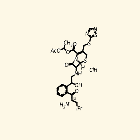 CC(=O)OC(C)OC(=O)C1=C(CSc2ncns2)CS[C@H]2C(NCC(O)c3ccccc3C(=O)[C@@H](N)CC(C)C)C(=O)N12.Cl